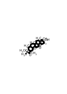 CON(C)C(=O)[C@@]1(C)CC[C@]2(C)CC[C@]3(C)C(=CC(=O)[C@@H]4[C@@]5(C)CC[C@@H](O)C(C)(C)C5CC[C@]43C)[C@H]2C1